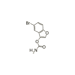 NC(=O)Oc1coc2ccc(Br)cc12